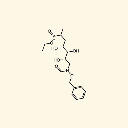 CCO[PH](=O)C(C)C[C@@H](O)[C@@H](O)[C@@H](O)CN(C=O)OCc1ccccc1